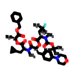 C[C@@H](OC(=O)[C@H](CC1CC1)N(C)C(=O)[C@@H](Cc1ccc(N2CCOCC2)cc1)OC(=O)[C@H](CC(C)(C)F)N(C)C(=O)OC(C)(C)C)C(=O)OCc1ccccc1